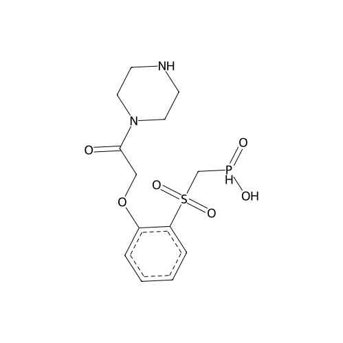 O=C(COc1ccccc1S(=O)(=O)C[PH](=O)O)N1CCNCC1